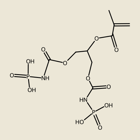 C=C(C)C(=O)OC(COC(=O)NP(=O)(O)O)COC(=O)NP(=O)(O)O